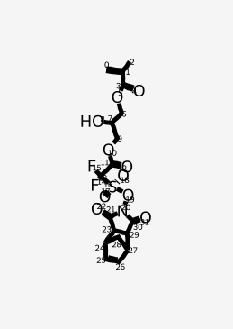 C=C(C)C(=O)OCC(O)COC(=O)C(F)(F)S(=O)(=O)ON1C(=O)C2C3C=CC(C3)C2C1=O